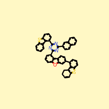 C1=Cc2sc3cccc(-c4ccc5c(c4)oc4cccc(-c6nc(-c7ccc8ccccc8c7)nc(-c7cccc8sc9ccccc9c78)n6)c45)c3c2CC1